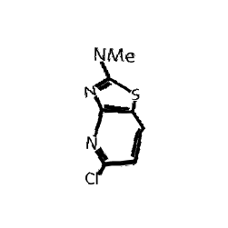 CNc1nc2nc(Cl)ccc2s1